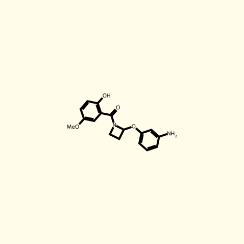 COc1ccc(O)c(C(=O)N2CCC2Oc2cccc(N)c2)c1